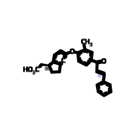 Cc1cc(C(=O)/C=C/c2ccccc2)ccc1Oc1ccc2c(c1)CC[C@H]2CC(=O)O